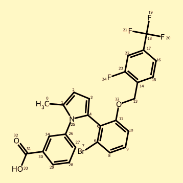 Cc1ccc(-c2c(Br)cccc2OCc2ccc(C(F)(F)F)cc2F)n1-c1cccc(C(=O)O)c1